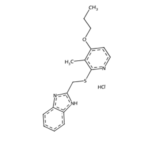 CCCOc1ccnc(SCc2nc3ccccc3[nH]2)c1C.Cl